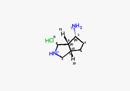 Cl.N[C@@H]1CC[C@@H]2CNC[C@@H]21